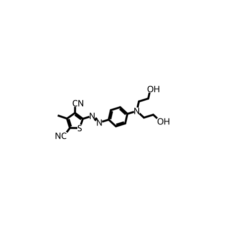 Cc1c(C#N)sc(/N=N/c2ccc(N(CCO)CCO)cc2)c1C#N